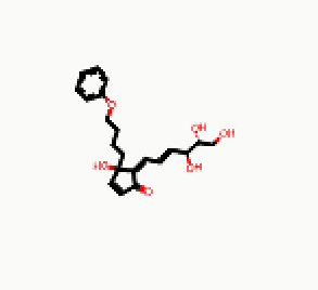 O=C1C=CC(O)(CCCCOc2ccccc2)/C1=C/C=C/[C@H](O)[C@H](O)CO